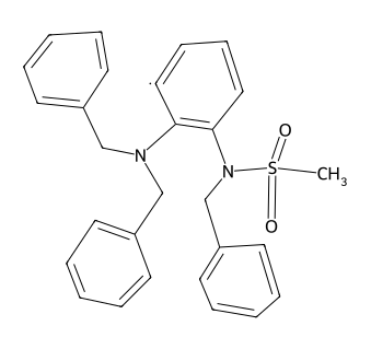 CS(=O)(=O)N(Cc1ccccc1)c1ccc[c]c1N(Cc1ccccc1)Cc1ccccc1